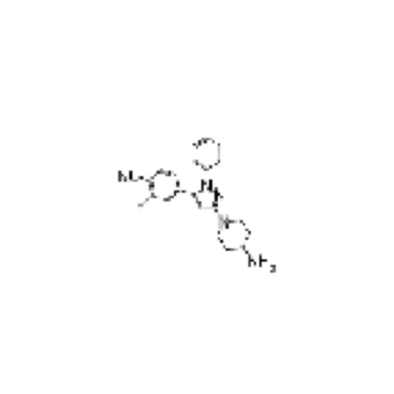 Cc1ccc(-n2nc(N3CCC(N)CC3)cc2-c2ccc(C#N)c(F)c2)cc1